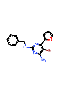 Nc1nc(NCc2ccccc2)nc(-c2ccco2)c1Br